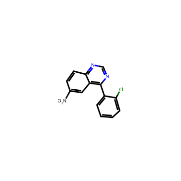 O=[N+]([O-])c1ccc2ncnc(-c3ccccc3Cl)c2c1